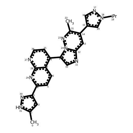 Cc1cc(-c2ccc3c(-c4cnc5cc(-c6cnn(C(C)C)c6)c(C)nn45)ccnc3n2)n[nH]1